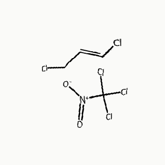 Cl/C=C/CCl.O=[N+]([O-])C(Cl)(Cl)Cl